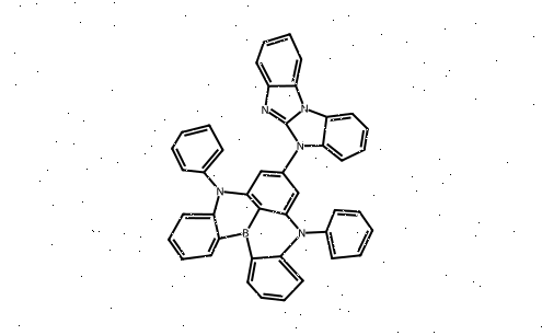 c1ccc(N2c3ccccc3B3c4ccccc4N(c4ccccc4)c4cc(-n5c6ccccc6n6c7ccccc7nc56)cc2c43)cc1